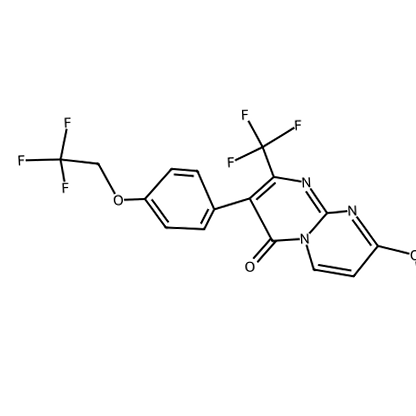 COc1ccn2c(=O)c(-c3ccc(OCC(F)(F)F)cc3)c(C(F)(F)F)nc2n1